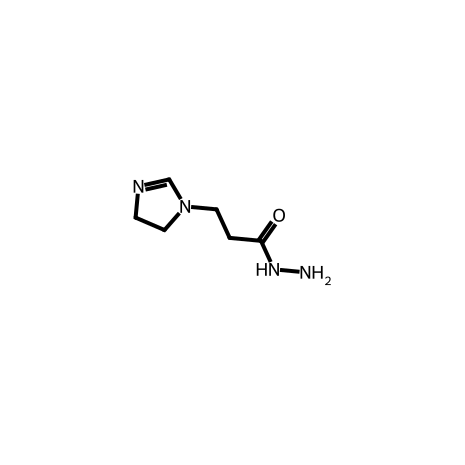 NNC(=O)CCN1C=NCC1